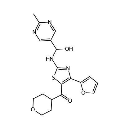 Cc1ncc(C(O)Nc2nc(-c3ccco3)c(C(=O)C3CCOCC3)s2)cn1